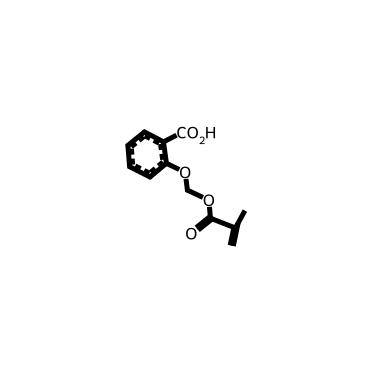 C=C(C)C(=O)OCOc1ccccc1C(=O)O